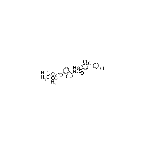 CC(C)(C)OC(=O)COc1cccc2c1CCC[C@H]2NCS(=O)(=O)c1ccc(Oc2ccc(Cl)cc2)c(Cl)c1